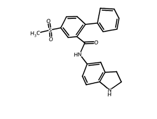 CS(=O)(=O)c1ccc(-c2ccccc2)c(C(=O)Nc2ccc3c(c2)CCN3)c1